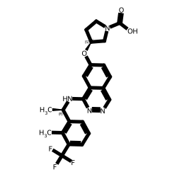 Cc1c([C@@H](C)Nc2nncc3ccc(O[C@H]4CCN(C(=O)O)C4)cc23)cccc1C(F)(F)F